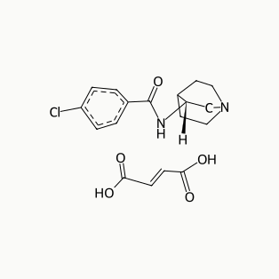 O=C(N[C@H]1CN2CCC1CC2)c1ccc(Cl)cc1.O=C(O)C=CC(=O)O